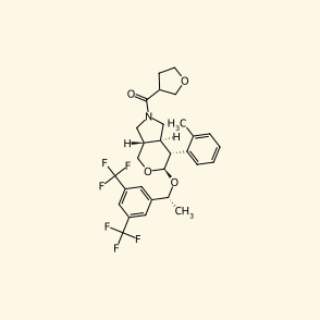 Cc1ccccc1[C@@H]1[C@@H](O[C@H](C)c2cc(C(F)(F)F)cc(C(F)(F)F)c2)OC[C@@H]2CN(C(=O)C3CCOC3)C[C@H]21